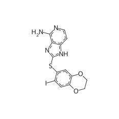 Nc1nccc2[nH]c(Sc3cc4c(cc3I)OCCO4)nc12